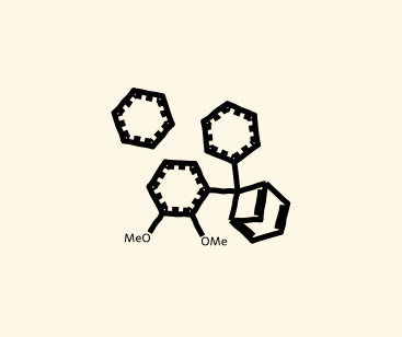 COc1cccc(C2(c3ccccc3)C3=CC=CC2=C3)c1OC.c1ccccc1